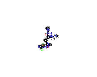 C=C(NCCN1CCCC1)c1cc(C(=O)NCCN2CCCCC2)cc(-c2cccc(-c3cc(NC(=O)Nc4c(Cl)cncc4Cl)c(=O)n(CC)n3)c2)c1